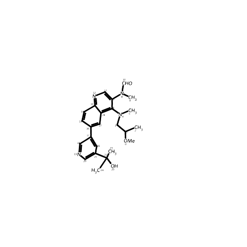 COC(C)CN(C)c1c(N(C)C=O)cnc2ccc(-c3cncc(C(C)(C)O)c3)cc12